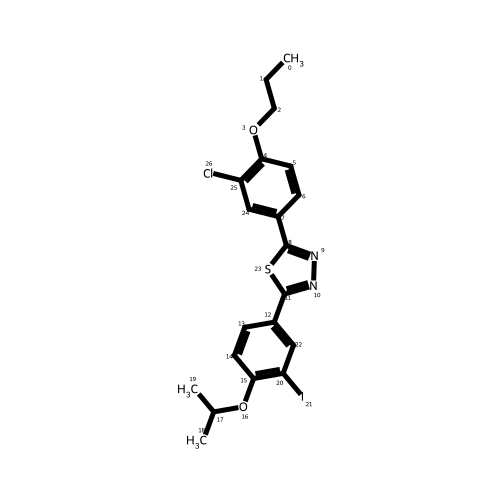 CCCOc1ccc(-c2nnc(-c3ccc(OC(C)C)c(I)c3)s2)cc1Cl